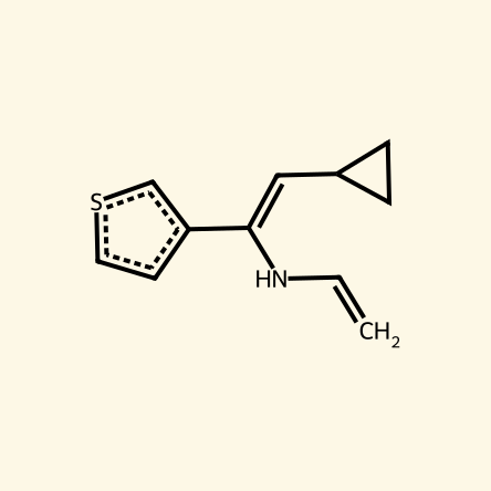 C=CN/C(=C\C1CC1)c1ccsc1